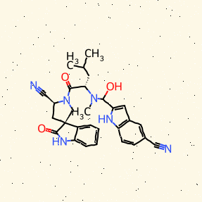 CC(C)C[C@@H](C(=O)N1C[C@]2(C[C@H]1C#N)C(=O)Nc1ccccc12)N(C)C(O)c1cc2cc(C#N)ccc2[nH]1